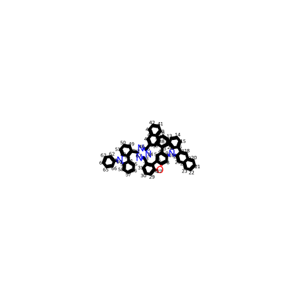 c1ccc(-c2cc3c(cc2-n2c4ccccc4c4cc5ccccc5cc42)oc2cccc(-c4nc(-c5ccc6ccccc6c5)nc(-c5cccc6c5c5ccccc5n6-c5ccccc5)n4)c23)cc1